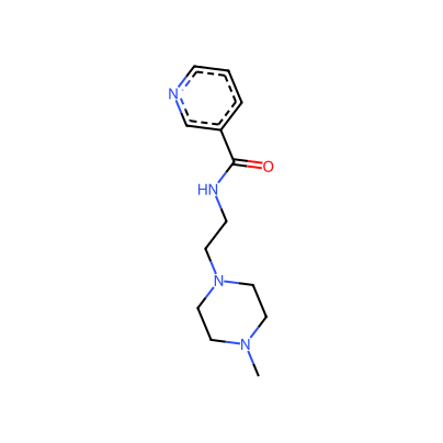 CN1CCN(CCNC(=O)c2cccnc2)CC1